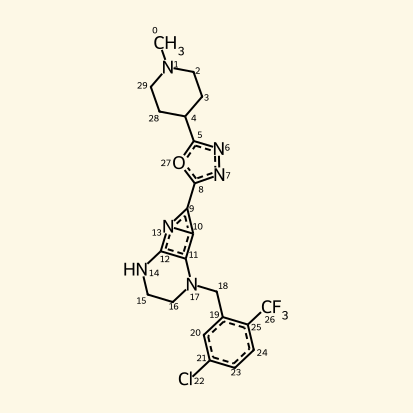 CN1CCC(c2nnc(-c3c4c5c(n3-4)NCCN5Cc3cc(Cl)ccc3C(F)(F)F)o2)CC1